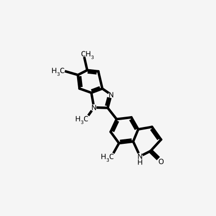 Cc1cc2nc(-c3cc(C)c4[nH]c(=O)ccc4c3)n(C)c2cc1C